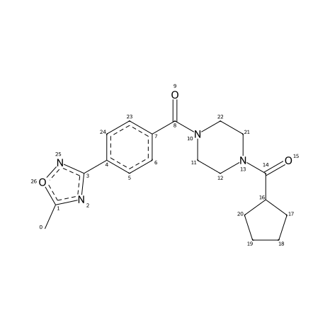 Cc1nc(-c2ccc(C(=O)N3CCN(C(=O)C4CCCC4)CC3)cc2)no1